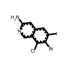 Nc1cc2cc(I)c(Br)c(Cl)c2cn1